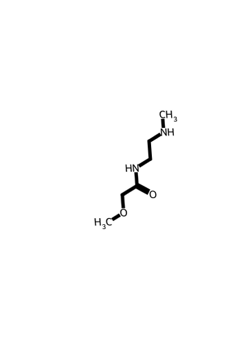 CNCCNC(=O)COC